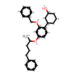 CC(CCCc1ccccc1)Oc1ccc(C2CCCC(O)C2)c(OCc2ccccc2)c1